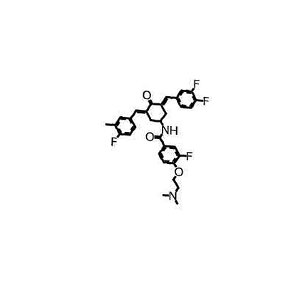 Cc1cc(/C=C2\CC(NC(=O)c3ccc(OCCN(C)C)c(F)c3)C/C(=C\c3ccc(F)c(F)c3)C2=O)ccc1F